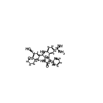 C#Cc1cc(C(Nc2ccc(C(=N)N)cc2)c2nn(-c3ncccn3)c(=O)[nH]2)cc2c1OCCC2